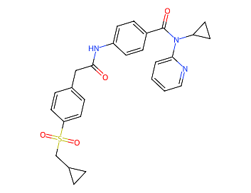 O=C(Cc1ccc(S(=O)(=O)CC2CC2)cc1)Nc1ccc(C(=O)N(c2ccccn2)C2CC2)cc1